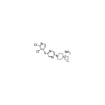 C[C@H]1C[C@@H](N)C2(CCN(c3cnc(Sc4ccnc(Cl)c4Cl)cn3)CC2)C1